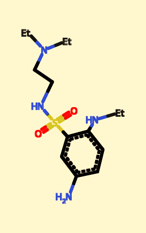 CCNc1ccc(N)cc1S(=O)(=O)NCCN(CC)CC